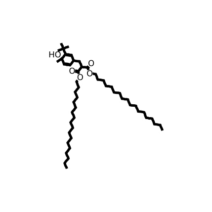 CCCCCCCCCCCCCCCCCCOC(=O)C(CC1C=CC(C)(O)C(C(C)(C)C)=C1)C(=O)OCCCCCCCCCCCCCCCCCC